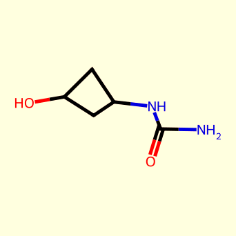 NC(=O)NC1CC(O)C1